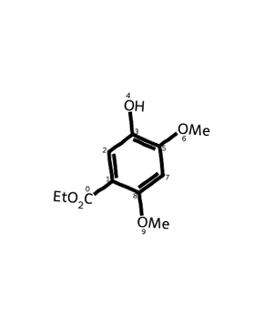 CCOC(=O)c1cc(O)c(OC)cc1OC